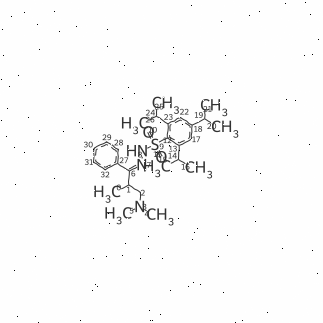 CC(CN(C)C)C(=NNS(=O)(=O)c1c(C(C)C)cc(C(C)C)cc1C(C)C)c1ccccc1